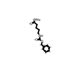 CNC(=O)CCCCNC(=O)OCc1ccccc1